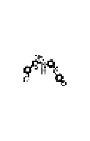 COc1ccc(COc2cccc(Nc3ncnc4cc(-c5cccc(C=O)c5)sc34)c2)cc1